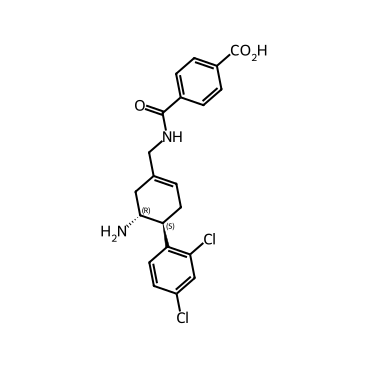 N[C@@H]1CC(CNC(=O)c2ccc(C(=O)O)cc2)=CC[C@H]1c1ccc(Cl)cc1Cl